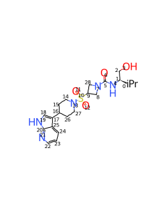 CC(C)[C@H](CO)NC(=O)N1CC(S(=O)(=O)N2CCC(c3c[nH]c4ncccc34)CC2)C1